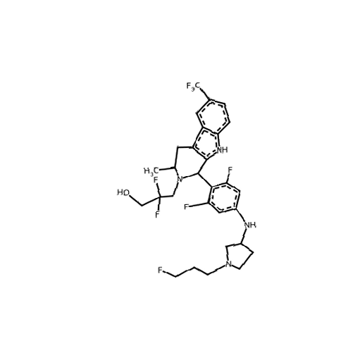 CC1Cc2c([nH]c3ccc(C(F)(F)F)cc23)C(c2c(F)cc(NC3CCN(CCCF)C3)cc2F)N1CC(F)(F)CO